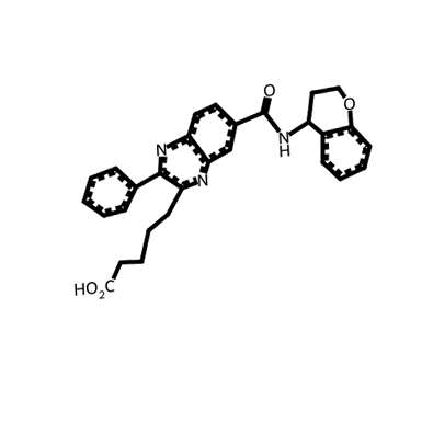 O=C(O)CCCCc1nc2cc(C(=O)NC3CCOc4ccccc43)ccc2nc1-c1ccccc1